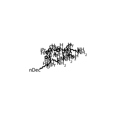 CCCCCCCCCCCCCCCC(=O)N[C@H](C(=O)N[C@@H](CCCCC(=N)N)C(=O)N1CCC[C@H]1C(=O)N[C@H](C(=O)C[C@@H](C)C(=O)N[C@@H](CC(N)=O)C(=O)C[C@@H](C)C(=O)N[C@@H](CCCNC(=N)N)C(=O)C[C@@H](CC(C)C)C(=O)NC(CCCNC(=N)N)C(=O)C[C@@H](CC(C)C)C(N)=O)C(C)C)C(C)C